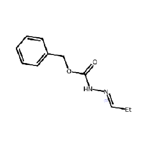 CC/C=N/NC(=O)OCc1ccccc1